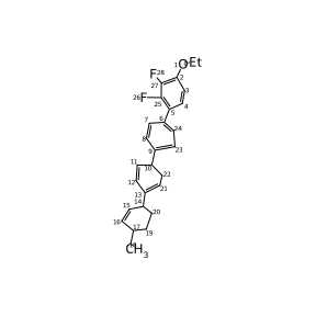 CCOc1ccc(-c2ccc(C3C=CC(C4C=CC(C)CC4)=CC3)cc2)c(F)c1F